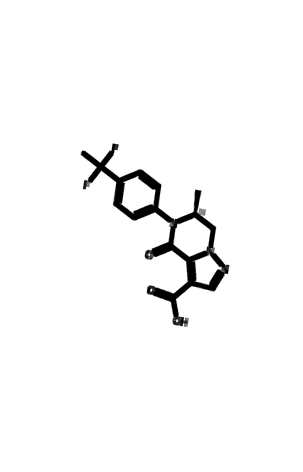 C[C@H]1Cn2ncc(C(=O)O)c2C(=O)N1c1ccc(C(C)(F)F)cc1